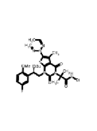 C=NN(/N=C\C)c1sc2c(c1C)c(=O)n(C(C)(C)C(=O)NCC)c(=O)n2C[C@H](OCC(C)C)c1cc(F)ccc1OC